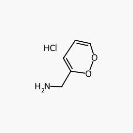 Cl.NCC1=CC=COO1